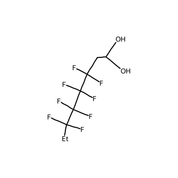 CCC(F)(F)C(F)(F)C(F)(F)C(F)(F)CC(O)O